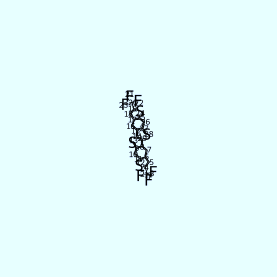 FC(F)(F)c1cc2cc3c(cc2s1)sc1c2cc4cc(C(F)(F)F)sc4cc2sc31